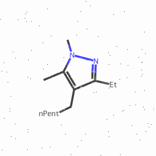 CCCCCCc1c(CC)nn(C)c1C